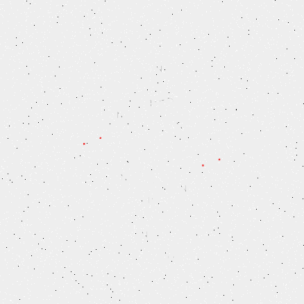 O=P12c3c4cccc3N(c3ccccc3)c3c1c(cc1c5c6c(cc31)N(c1ccccc1)c1ccc3c7c1P6(=O)c1c(cccc1N5c1ccccc1)N7c1ccccc1O3)N(c1ccccc1)c1ccc3c(c12)N4c1ccccc1O3